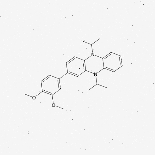 COc1ccc(-c2ccc3c(c2)N(C(C)C)c2ccccc2N3C(C)C)cc1OC